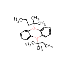 CCCC(C)(C)B1c2ccccc2B(C(C)(C)CC)c2ccccc21